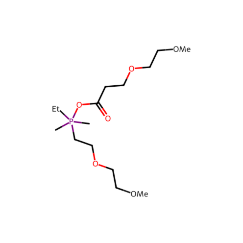 CCP(C)(C)(CCOCCOC)OC(=O)CCOCCOC